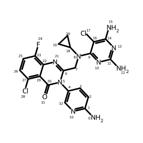 Nc1ccc(-n2c(CN(c3nc(N)nc(N)c3Cl)C3CC3)nc3c(F)ccc(Cl)c3c2=O)cn1